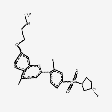 Cc1cc(-c2ccc(S(=O)(=O)N3CC[C@H](F)C3)cc2F)nc2cc(OCCNC(=O)O)ccc12